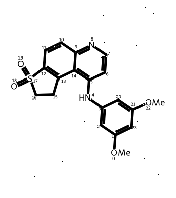 COc1cc(Nc2ccnc3ccc4c(c23)CCS4(=O)=O)cc(OC)c1